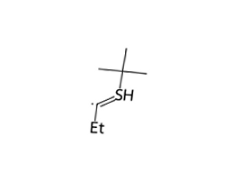 CC[C]=[SH]C(C)(C)C